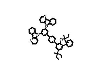 CCC(C)(CC)Oc1c(-c2ccccc2)cc(C(C)(CC)CC)cc1-c1ccc(-c2cc(-n3c4ccccc4c4ncccc43)cc(-n3c4ccccc4c4ncccc43)c2)cc1